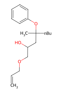 C=CCOCC(O)CC(C)(CCCC)Oc1ccccc1